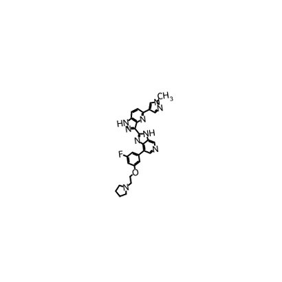 Cn1cc(-c2ccc3[nH]nc(-c4nc5c(-c6cc(F)cc(OCCN7CCCC7)c6)cncc5[nH]4)c3n2)cn1